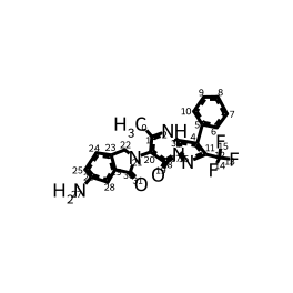 Cc1[nH]c2c(-c3ccccc3)c(C(F)(F)F)nn2c(=O)c1N1Cc2ccc(N)cc2C1=O